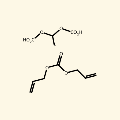 C=CCOC(=O)OCC=C.O=C(O)OC(F)OC(=O)O